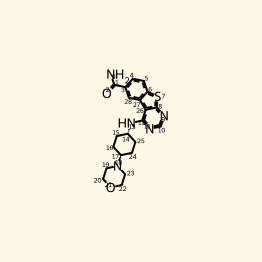 NC(=O)c1ccc2sc3ncnc(N[C@H]4CC[C@H](N5CCOCC5)CC4)c3c2c1